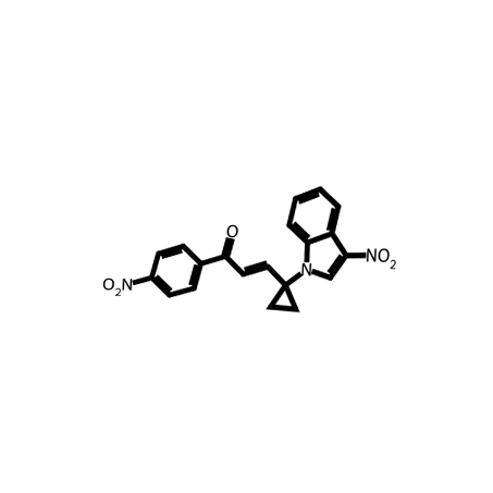 O=C(/C=C/C1(n2cc([N+](=O)[O-])c3ccccc32)CC1)c1ccc([N+](=O)[O-])cc1